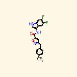 O=C(Nc1c[nH]c2cc(F)c(F)cc12)c1cc(Cc2ccc(C(F)(F)F)cc2)no1